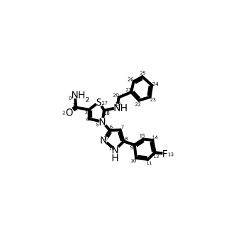 NC(=O)C1=CN(c2cc(-c3ccc(F)cc3)[nH]n2)C(NCc2ccccc2)S1